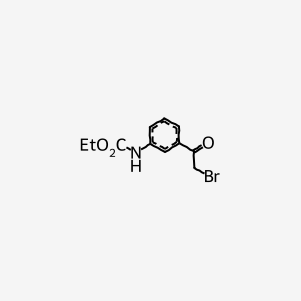 CCOC(=O)Nc1cccc(C(=O)CBr)c1